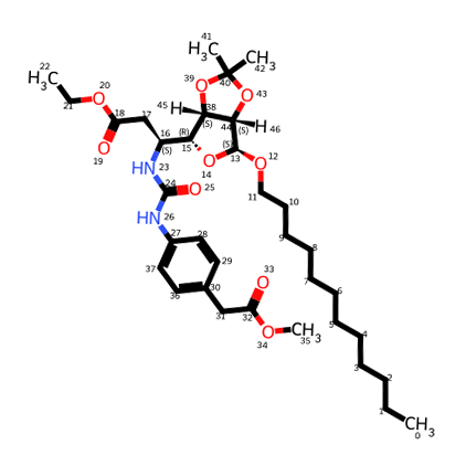 CCCCCCCCCCCCO[C@H]1O[C@H]([C@H](CC(=O)OCC)NC(=O)Nc2ccc(CC(=O)OC)cc2)[C@@H]2OC(C)(C)O[C@H]12